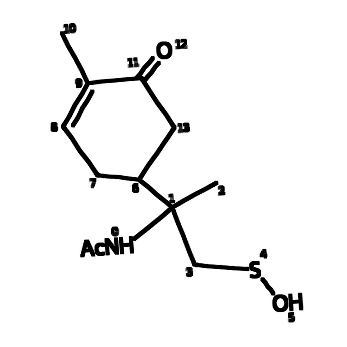 CC(=O)NC(C)(CSO)C1CC=C(C)C(=O)C1